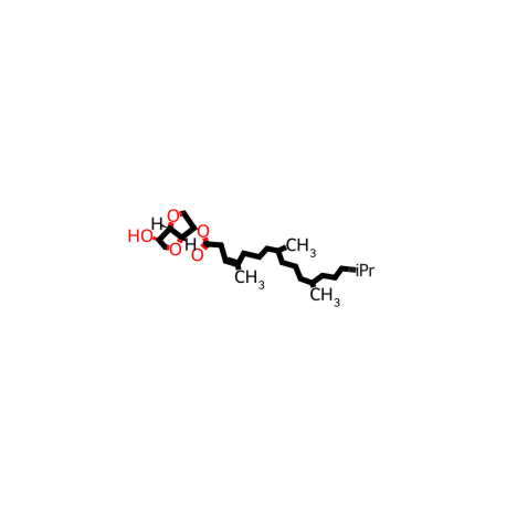 CC(=CCC(=O)O[C@H]1CO[C@H]2[C@@H]1OC[C@H]2O)CCCC(C)CCCC(C)CCCC(C)C